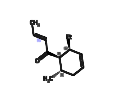 C/C=C/C(=O)[C@H]1[C@@H](CC)C=CC[C@@H]1C